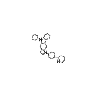 C1=CN=C(c2ccc(-n3ccc4cc5c(cc43)c3ccccc3n5-c3ccccc3)cc2)CC1